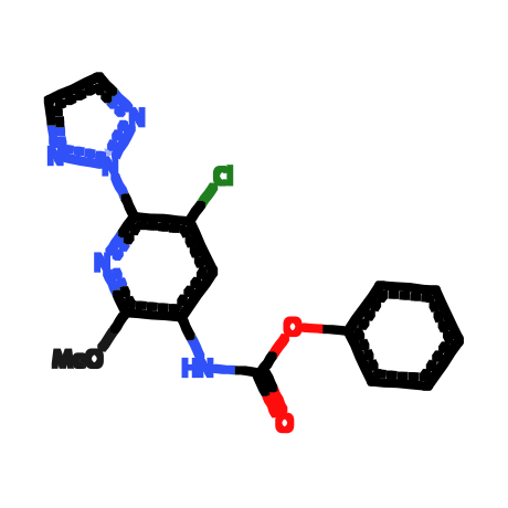 COc1nc(-n2nccn2)c(Cl)cc1NC(=O)Oc1ccccc1